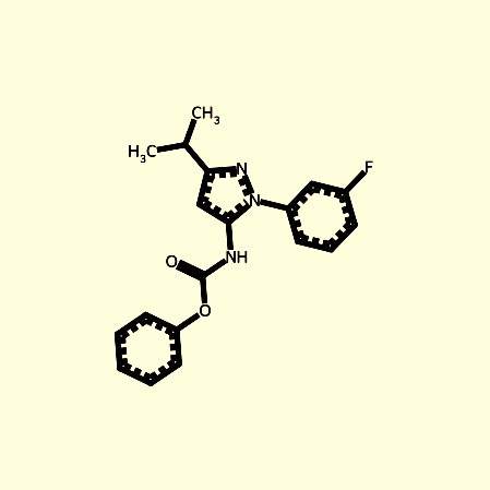 CC(C)c1cc(NC(=O)Oc2ccccc2)n(-c2cccc(F)c2)n1